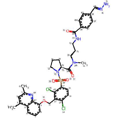 Cc1cc(C)c2cccc(OCc3c(Cl)ccc(S(=O)(=O)N4CCC[C@H]4C(=O)N(C)CCCNC(=O)c4ccc(C=NN)cc4)c3Cl)c2n1